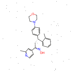 Cc1cc(/C(C[C@H](c2ccc(N3CCOCC3)cc2)c2ccccc2C)=N\O)ccn1